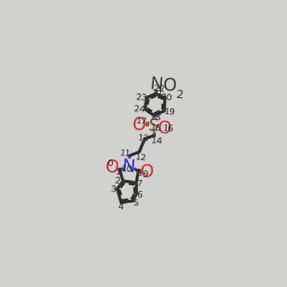 O=C1c2ccccc2C(=O)N1CCCCS(=O)(=O)c1ccc([N+](=O)[O-])cc1